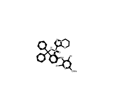 COc1cc(C(C)C)c(NC(=O)N=S(=O)(NC(c2ccccc2)(c2ccccc2)c2ccccc2)c2cnn3c2OCCC3)c(C(C)C)n1